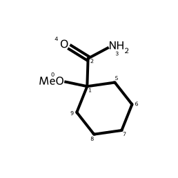 COC1(C(N)=O)CCCCC1